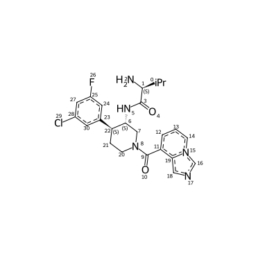 CC(C)[C@H](N)C(=O)N[C@@H]1CN(C(=O)c2cccn3cncc23)CC[C@H]1c1cc(F)cc(Cl)c1